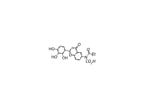 CCC(=O)N(C(=O)O)c1ccc2oc(-c3ccc(O)c(O)c3O)cc(=O)c2c1